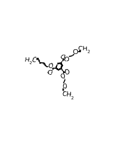 C=CCCCOC(=O)c1cc(C(=O)OCCOC=C)cc(C(=O)OCCOC=C)c1